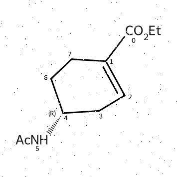 CCOC(=O)C1=CC[C@H](NC(C)=O)CC1